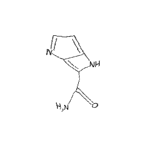 NC(=O)C1=C2N=CC=C2N1